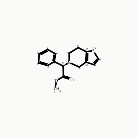 COC(=O)[C@@H](c1ccccc1)N1CCc2sccc2C1